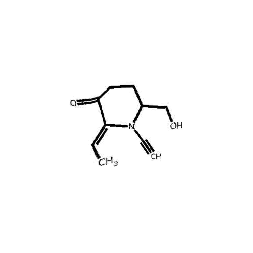 C#CN1/C(=C\C)C(=O)CCC1CO